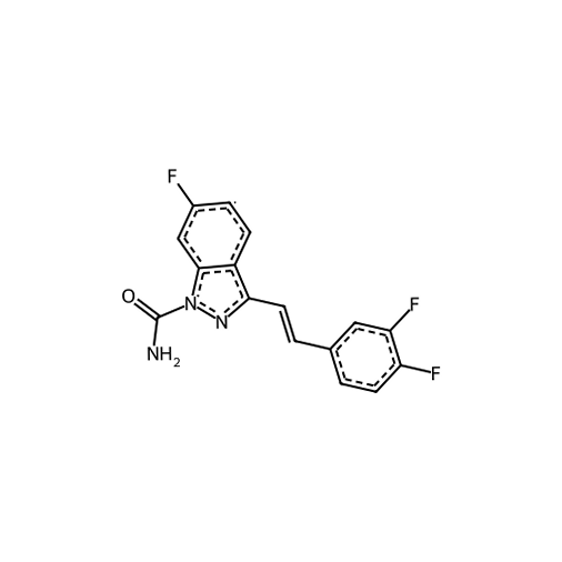 NC(=O)n1nc(/C=C/c2ccc(F)c(F)c2)c2c[c]c(F)cc21